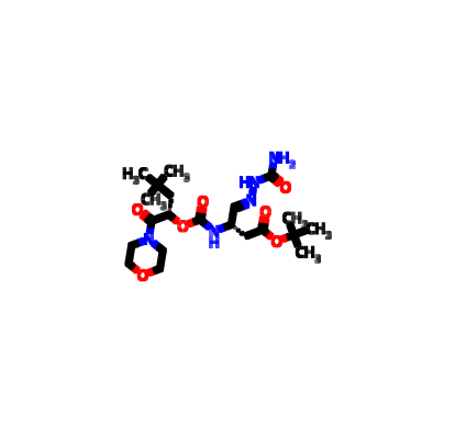 CC(C)(C)C[C@H](OC(=O)N[C@H](/C=N/NC(N)=O)CC(=O)OC(C)(C)C)C(=O)N1CCOCC1